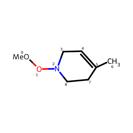 COON1CC=C(C)CC1